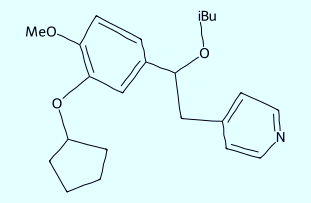 CCC(C)OC(Cc1ccncc1)c1ccc(OC)c(OC2CCCC2)c1